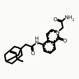 CC12C=C3CC(C1)CC(CC(=O)Nc1cccc4c(=O)n(CC(N)=O)ccc14)(C3)C2